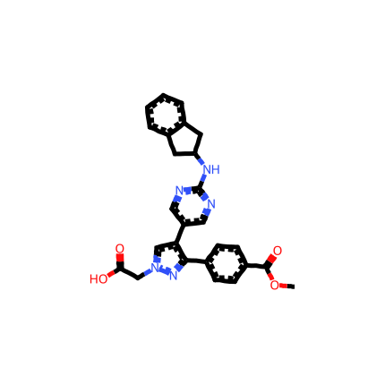 COC(=O)c1ccc(-c2nn(CC(=O)O)cc2-c2cnc(NC3Cc4ccccc4C3)nc2)cc1